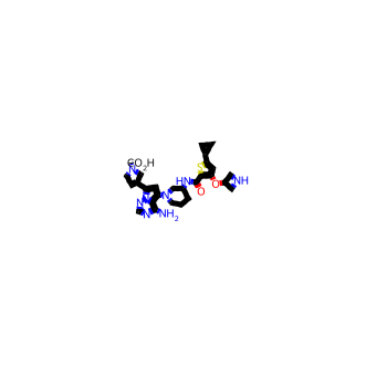 Nc1ncnn2c(C3=CCN(C(=O)O)C3)cc(N3CCCC(NC(=O)c4sc(C5CC5)cc4OC4CNC4)C3)c12